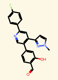 Cn1ccc(-c2cc(-c3ccc(F)cc3)ncc2-c2ccc(C=O)c(O)c2)n1